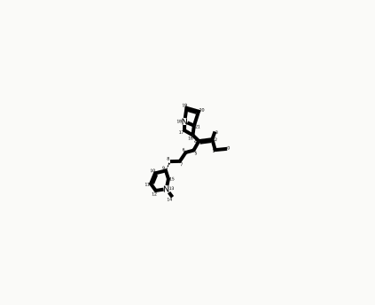 CC/C(C)=C(\CCCC[C@H]1C=CCN(C)C1)C1CN2C=CC12